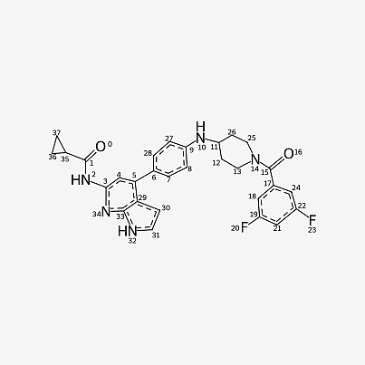 O=C(Nc1cc(-c2ccc(NC3CCN(C(=O)c4cc(F)cc(F)c4)CC3)cc2)c2cc[nH]c2n1)C1CC1